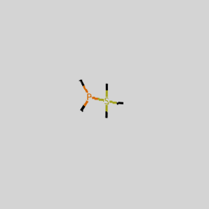 CP(C)S(C)(C)C